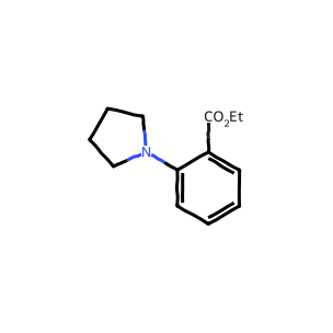 CCOC(=O)c1ccccc1N1CCCC1